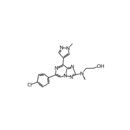 CN(CCO)c1nc2c(-c3cnn(C)c3)nc(-c3ccc(Cl)cc3)cn2n1